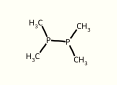 CP(C)P(C)C